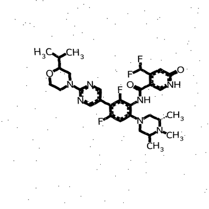 CC(C)C1CN(c2ncc(-c3c(F)cc(N4CC(C)N(C)[C@@H](C)C4)c(NC(=O)c4c[nH]c(=O)cc4C(F)F)c3F)cn2)CCO1